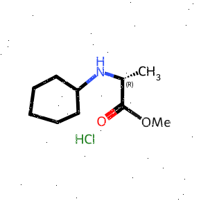 COC(=O)[C@@H](C)NC1CCCCC1.Cl